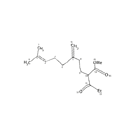 C=C(CCC=C(C)C)CCC(C(=O)CC)C(=O)OC